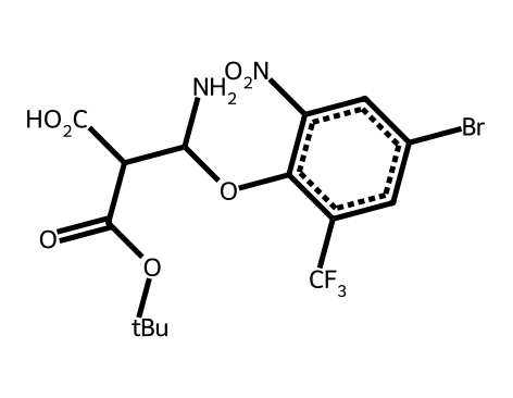 CC(C)(C)OC(=O)C(C(=O)O)C(N)Oc1c([N+](=O)[O-])cc(Br)cc1C(F)(F)F